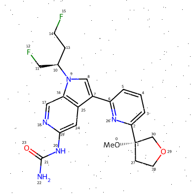 CO[C@@]1(c2cccc(-c3cn([C@@H](CF)CCF)c4cnc(NC(N)=O)cc34)n2)CCOC1